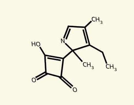 CCC1=C(C)C=NC1(C)c1c(O)c(=O)c1=O